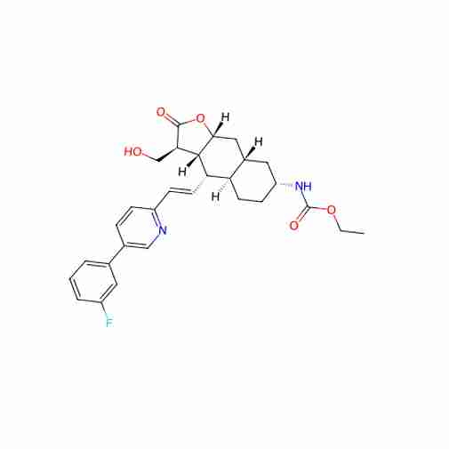 CCOC(=O)N[C@@H]1CC[C@@H]2[C@@H](C1)C[C@H]1OC(=O)[C@H](CO)[C@H]1[C@H]2/C=C/c1ccc(-c2cccc(F)c2)cn1